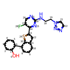 Oc1ccccc1-c1cccc2cc(-c3nc(NCCn4ccnn4)ncc3F)sc12